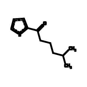 CC(C)CCCC(=O)c1cccs1